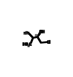 CCCC(C(=O)O)[C@@H](O)CCl